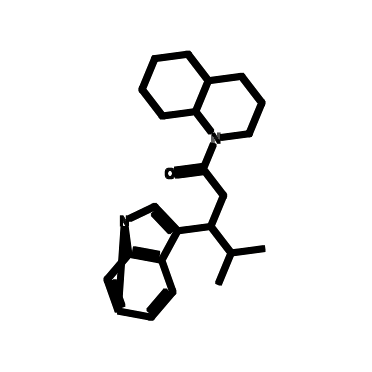 CC(C)C(CC(=O)N1CCCC2CCCCC21)c1cn2c3cc-2ccc13